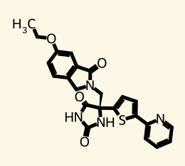 CCOc1ccc2c(c1)C(=O)N(C[C@@]1(c3ccc(-c4ccccn4)s3)NC(=O)NC1=O)C2